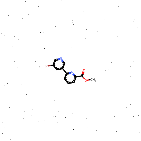 COC(=O)c1cccc(-c2cncc(Br)c2)n1